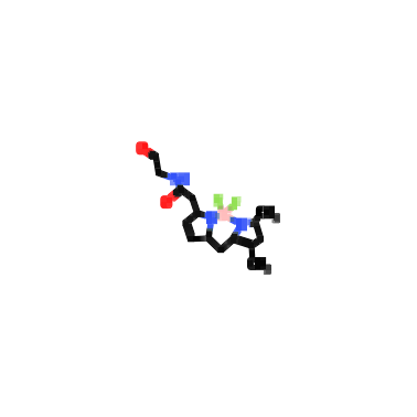 CC1=C2CC3C=CC(CC(=O)NCC=O)N3[B-](F)(F)[N+]2=C(C)C1